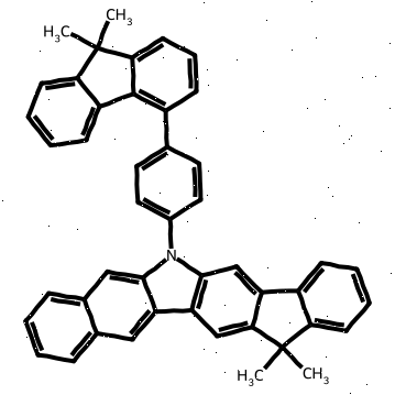 CC1(C)c2ccccc2-c2cc3c(cc21)c1cc2ccccc2cc1n3-c1ccc(-c2cccc3c2-c2ccccc2C3(C)C)cc1